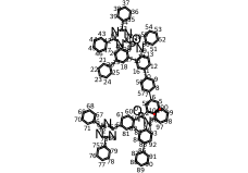 O=P1(c2cccc(-c3ccc(-c4ccc5c(c4)-c4cc(-c6ccccc6)ccc4P(=O)(c4nc(-c6ccccc6)nc(-c6ccccc6)n4)N5c4ccccc4)cc3)c2)c2ccc(-c3nc(-c4ccccc4)nc(-c4ccccc4)n3)cc2-c2cc(-c3ccccc3)ccc2N1c1ccccc1